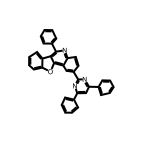 c1ccc(-c2cc(-c3ccccc3)nc(-c3ccc4nc(-c5ccccc5)c5c6ccccc6oc5c4c3)n2)cc1